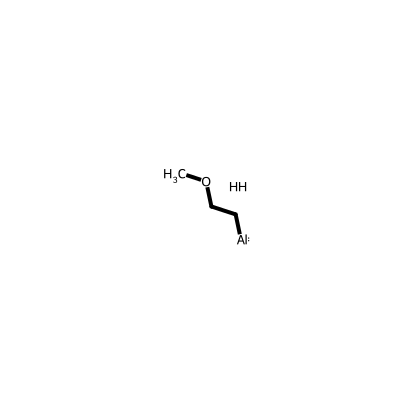 COC[CH2][Al].[HH]